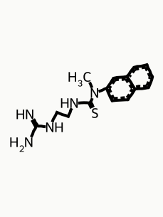 CN(C(=S)NCCNC(=N)N)c1ccc2ccccc2c1